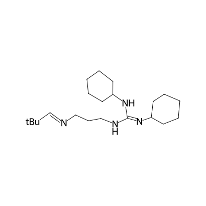 [CH2]C(C)(C)C=NCCCNC(=NC1CCCCC1)NC1CCCCC1